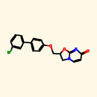 O=c1ccn2c(n1)OC(COc1ccc(-c3cccc(Br)c3)cc1)C2